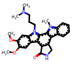 COc1cc2c3c4c(c5c6ccccc6n(C)c5c3n(CCCN(C)C)c2cc1OC)CNC4=O